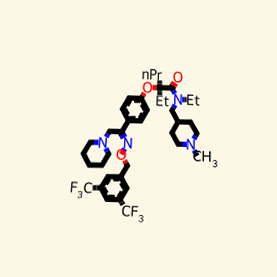 CCCC(CC)(Oc1ccc(C(CN2CCCCC2)=NOCc2cc(C(F)(F)F)cc(C(F)(F)F)c2)cc1)C(=O)N(CC)CC1CCN(C)CC1